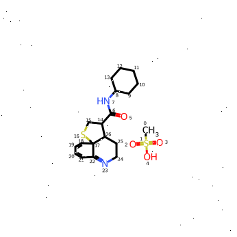 CS(=O)(=O)O.O=C(NC1CCCCC1)C1CSC23C=CC=CC2=NCCC13